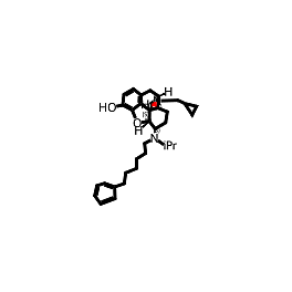 CC(C)N(CCCCCCc1ccccc1)[C@H]1CC[C@@]2(O)[C@H]3Cc4ccc(O)c5c4[C@@]2(CCN3CC2CC2)[C@H]1O5